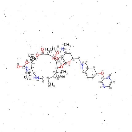 CC[C@H]1OC(=O)C(C)C(=O)[C@H](C)[C@@H](O[C@@H]2OC(CNCc3cccc(Oc4cnccn4)c3)CC(N(C)C)C2O)[C@](C)(OC)C[C@@H](C)CN[C@H](C)[C@H]2NC(=O)O[C@@]21C